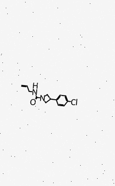 C=CCNC(=O)N1CC(c2ccc(Cl)cc2)C1